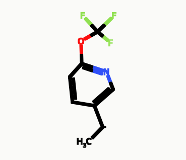 C[CH]c1ccc(OC(F)(F)F)nc1